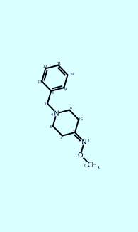 CON=C1CCN(Cc2ccccc2)CC1